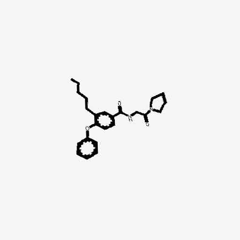 CCCCCc1cc(C(=O)NCC(=O)N2CCCC2)ccc1Oc1ccccc1